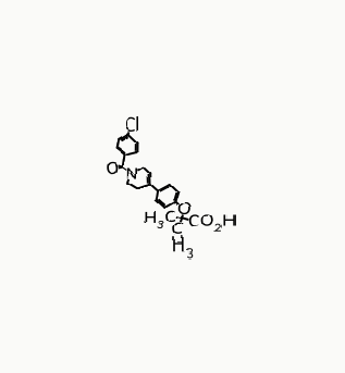 CC(C)(Oc1ccc(C2=CCN(C(=O)c3ccc(Cl)cc3)CC2)cc1)C(=O)O